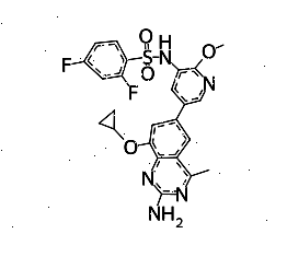 COc1ncc(-c2cc(OC3CC3)c3nc(N)nc(C)c3c2)cc1NS(=O)(=O)c1ccc(F)cc1F